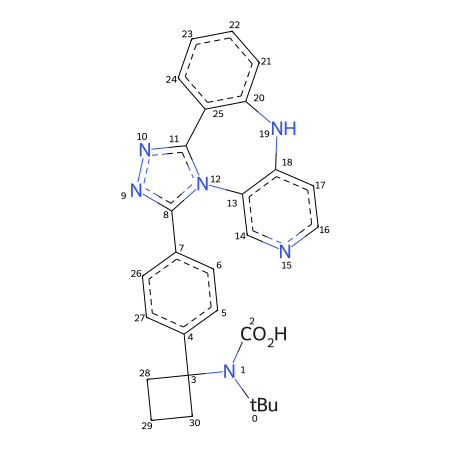 CC(C)(C)N(C(=O)O)C1(c2ccc(-c3nnc4n3-c3cnccc3Nc3ccccc3-4)cc2)CCC1